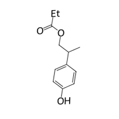 CCC(=O)OCC(C)c1ccc(O)cc1